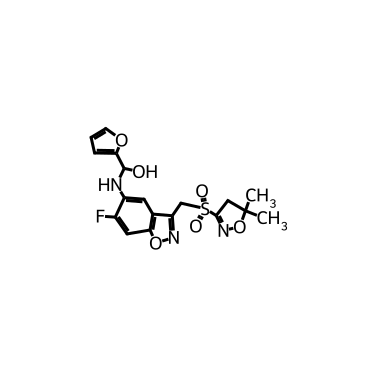 CC1(C)CC(S(=O)(=O)Cc2noc3cc(F)c(NC(O)c4ccco4)cc23)=NO1